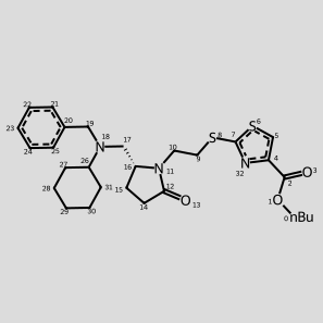 CCCCOC(=O)c1csc(SCCN2C(=O)CC[C@@H]2CN(Cc2ccccc2)C2CCCCC2)n1